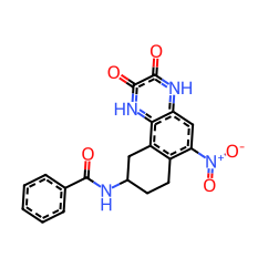 O=C(NC1CCc2c([N+](=O)[O-])cc3[nH]c(=O)c(=O)[nH]c3c2C1)c1ccccc1